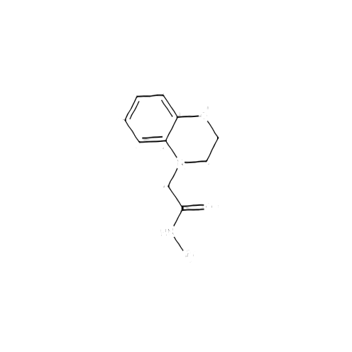 CC(C)NC(=O)CN1CCOc2ccccc21